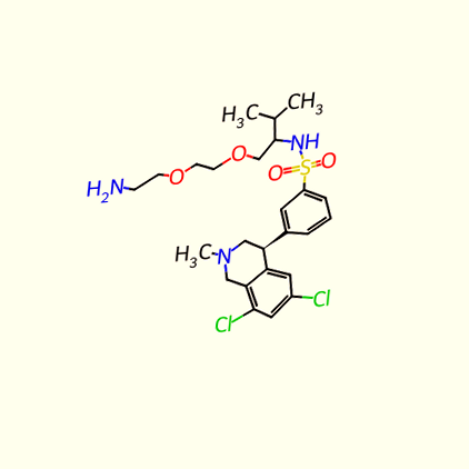 CC(C)C(COCCOCCN)NS(=O)(=O)c1cccc([C@@H]2CN(C)Cc3c(Cl)cc(Cl)cc32)c1